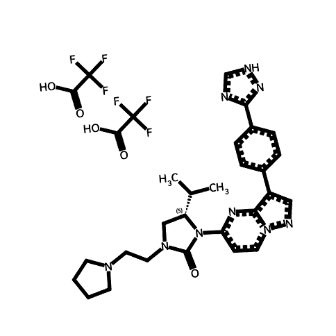 CC(C)[C@H]1CN(CCN2CCCC2)C(=O)N1c1ccn2ncc(-c3ccc(-c4nc[nH]n4)cc3)c2n1.O=C(O)C(F)(F)F.O=C(O)C(F)(F)F